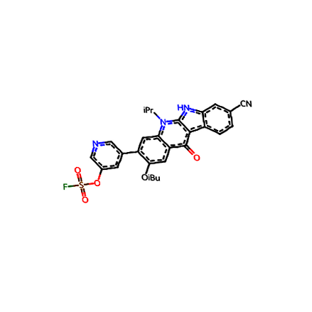 CC(C)COc1cc2c(=O)c3c4ccc(C#N)cc4[nH]c3n(C(C)C)c2cc1-c1cncc(OS(=O)(=O)F)c1